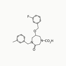 Cc1cccc(CN2CC(OCc3cccc(F)c3)CN(C(=O)O)CC2=O)c1